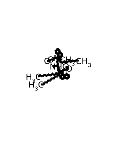 CCCCCCCCCCC1(CCCCCCCCCC)C(/C=C/C(C#N)=C/C=C2/N(CCOC=O)c3c(ccc4ccccc34)C2(C)CCCCCCCCCC)=[N+](CCC(=O)O)c2c1ccc1ccccc21